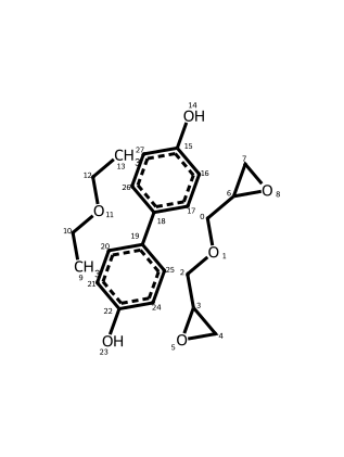 C(OCC1CO1)C1CO1.CCOCC.Oc1ccc(-c2ccc(O)cc2)cc1